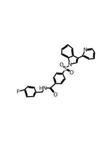 O=C(NCc1ccc(F)cc1)c1ccc(S(=O)(=O)n2cc(-c3ccccn3)c3ccccc32)cc1